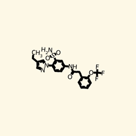 CCc1cnn(-c2ccc(NC(=O)Cc3ccccc3OC(F)(F)F)cc2S(N)(=O)=O)c1